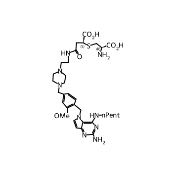 CCCCCNc1nc(N)nc2ccn(Cc3ccc(CN4CCN(CCNC(=O)C[C@H](SC[C@H](N)C(=O)O)C(=O)O)CC4)cc3OC)c12